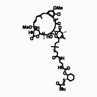 COc1cc2cc(c1Cl)N(C)C(=O)C[C@H](OC(=O)[C@H](C)N(C)C(=O)CCC(C)(C)SCC(=O)NCCNC(=O)O[C@H]1CCCC[C@@H]1SSC(=O)C(C)(C)C)C(C)(O)C[C@H](C)[C@@H]1C[C@@](O)(NC(=O)O1)[C@H](OC)/C=C/C=C(\C)C2